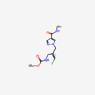 CC(C)(C)NC(=O)c1cnn(C/C(=C/F)CNC(=O)OC(C)(C)C)c1